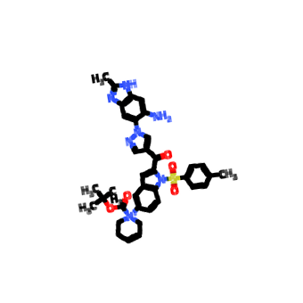 Cc1ccc(S(=O)(=O)n2c(C(=O)c3cnn(-c4cc5nc(C)[nH]c5cc4N)c3)cc3cc([N+]4(C(=O)OC(C)(C)C)CC=CCC4)ccc32)cc1